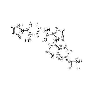 O=C(Nc1cnc(-n2nccn2)c(Cl)c1)c1ccnn1-c1cccc2nc(C3CCN3)ccc12